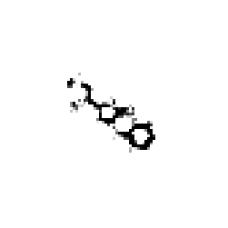 CC(C)C[C@@H](Br)[C@@H]1C[C@@H](Cc2ccccc2)C(=O)O1